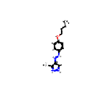 CCCCOc1ccc(/N=N/c2cn[nH]c2C)cc1